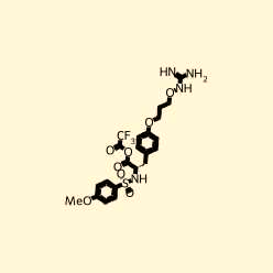 COc1ccc(S(=O)(=O)N[C@@H](Cc2ccc(OCCCONC(=N)N)cc2)C(=O)OC(=O)C(F)(F)F)cc1